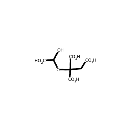 O=C(O)CC(OC(O)C(=O)O)(C(=O)O)C(=O)O